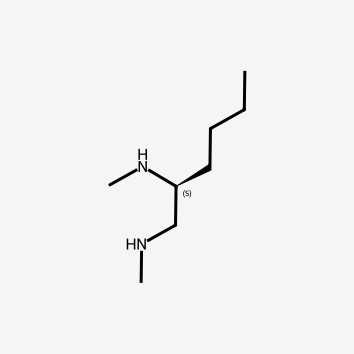 CCCC[C@@H](CNC)NC